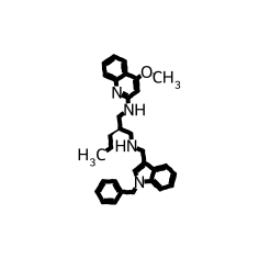 CCC[C@H](CNCc1cn(Cc2ccccc2)c2ccccc12)CNc1cc(OC)c2ccccc2n1